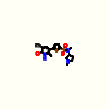 CCc1cc(-c2ccc(S(=O)(=O)N(C)C3CCN(C)C3)s2)c(C)[nH]c1=O